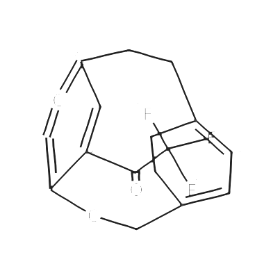 O=C(C1=CC2=C=C=C1CCC1=CC=C(CC2)CC1)C(F)(F)F